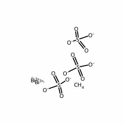 C.O=S(=O)([O-])[O-].O=S(=O)([O-])[O-].O=S(=O)([O-])[O-].[Bi+3].[Bi+3]